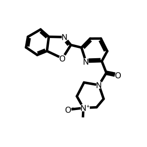 C[N+]1([O-])CCN(C(=O)c2cccc(-c3nc4ccccc4o3)n2)CC1